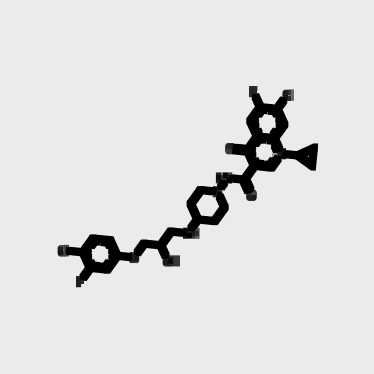 O=C(NN1CCC(NCC(O)COc2ccc(Cl)c(F)c2)CC1)c1cn(C2CC2)c2cc(Cl)c(F)cc2c1=O